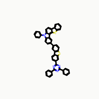 c1ccc(-c2nc(-c3ccccc3)nc(-c3ccc4c(c3)sc3ccc(-c5ccc6c(c5)c5c7sc8ccccc8c7ccc5n6-c5ccccc5)cc34)n2)cc1